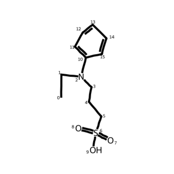 CCN(CCCS(=O)(=O)O)c1ccccc1